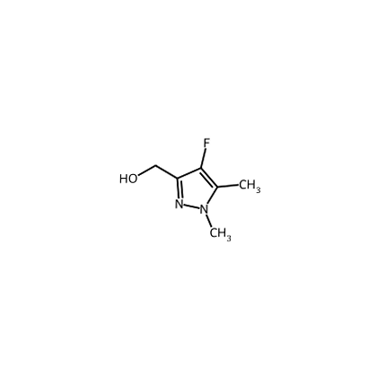 Cc1c(F)c(CO)nn1C